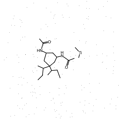 CCC(C)C1(C(C)CC)CC(NC(C)=O)CC(NC(C)=O)C1.[CH3][Ti][CH3]